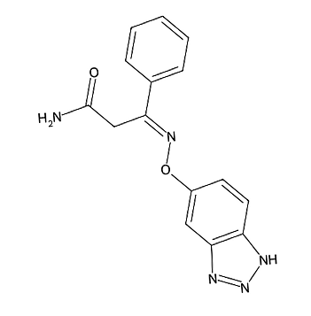 NC(=O)C/C(=N\Oc1ccc2[nH]nnc2c1)c1ccccc1